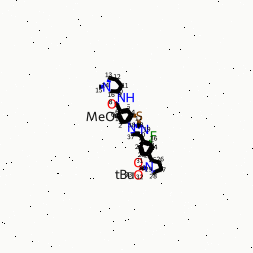 COc1cc2c(cc1C(=O)N[C@H]1CCCN(C)C1)sc1nc(-c3ccc(C4CCCN4C(=O)OC(C)(C)C)cc3F)cn12